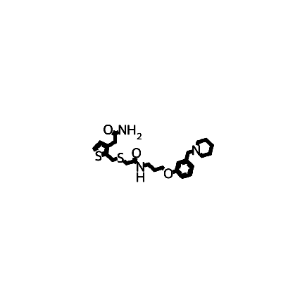 NC(=O)Cc1ccsc1CSCC(=O)NCCCOc1cccc(CN2CCCCC2)c1